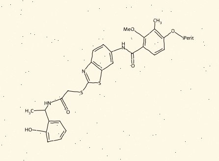 CCCC(C)Oc1ccc(C(=O)Nc2ccc3nc(SCC(=O)NC(C)c4ccccc4O)sc3c2)c(OC)c1C